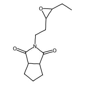 CCC1OC1CCN1C(=O)C2CCCC2C1=O